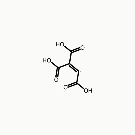 O=C(O)[C]=C(C(=O)O)C(=O)O